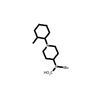 CC1CCCCC1N1CCC(N(C(=O)O)C(C)(C)C)CC1